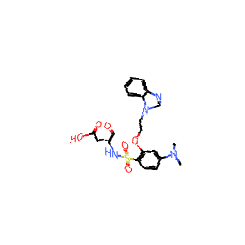 CN(C)c1ccc(S(=O)(=O)N[C@H](C=O)CC(=O)O)c(OCCn2cnc3ccccc32)c1